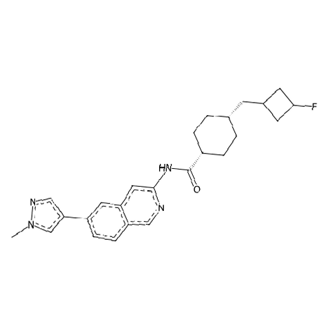 Cn1cc(-c2ccc3cnc(NC(=O)[C@H]4CC[C@@H](CC5CC(F)C5)CC4)cc3c2)cn1